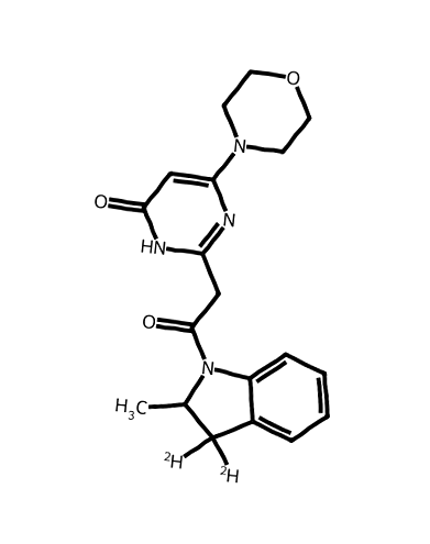 [2H]C1([2H])c2ccccc2N(C(=O)Cc2nc(N3CCOCC3)cc(=O)[nH]2)C1C